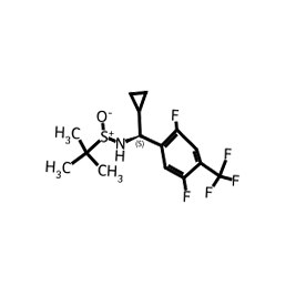 CC(C)(C)[S+]([O-])N[C@H](c1cc(F)c(C(F)(F)F)cc1F)C1CC1